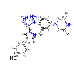 CC1CN(c2ccc3c(c2)Cn2cc(-c4ccc(C#N)cc4)cc2/C(=N/N)N3N)CC(C)N1